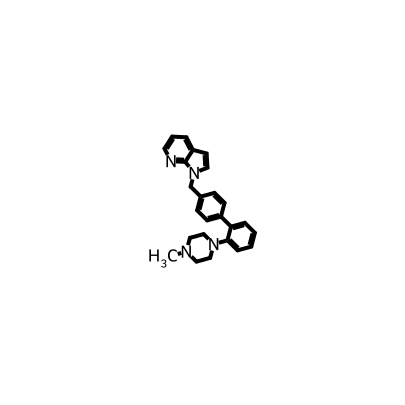 CN1CCN(c2ccccc2-c2ccc(Cn3ccc4cccnc43)cc2)CC1